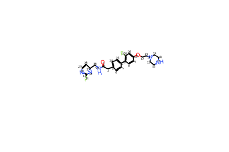 O=C(Cc1ccc(-c2ccc(OCCN3CCNCC3)cc2F)cc1)NCc1ccnc(F)n1